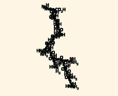 [N-]=[N+]=NNCCCC[C@H](NC(=O)[C@H](CO)NC(=O)CNC(=O)CNC(=O)CNC(=O)[C@H](CO)NC(=O)CNC(=O)CNC(=O)CNC(=O)[C@H](CCCNC(=N)N)NC(=O)CNC(=O)CNC(=O)[C@H](CCCNC(=N)N)NC(=O)CNC(=O)[C@H](CCCNC(=N)N)NC(=O)CNC(=O)CNC(=O)CNC(=O)[C@@H](N)CCCNC(=N)N)C(=O)O